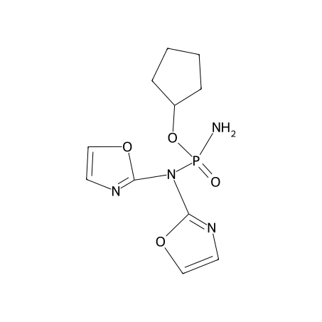 NP(=O)(OC1CCCC1)N(c1ncco1)c1ncco1